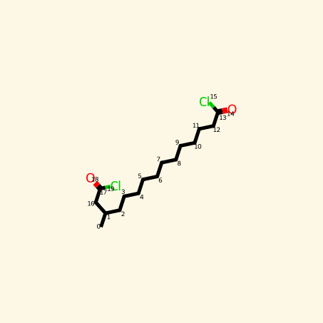 CC(CCCCCCCCCCCC(=O)Cl)CC(=O)Cl